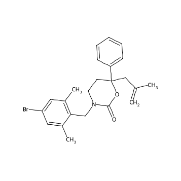 C=C(C)CC1(c2ccccc2)CCN(Cc2c(C)cc(Br)cc2C)C(=O)O1